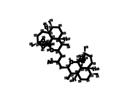 CC(=O)C(C[C@H]1O[C@@H]2O[C@]3(C)CC[C@H]4[C@H](C)CC[C@@H]([C@H]1C)[C@@]24OO3)C[C@H]1O[C@@H]2O[C@]3(C)CC[C@H]4[C@H](C)CC[C@@H]([C@H]1C)[C@@]24OO3